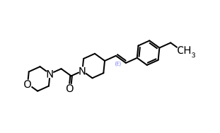 CCc1ccc(/C=C/C2CCN(C(=O)CN3CCOCC3)CC2)cc1